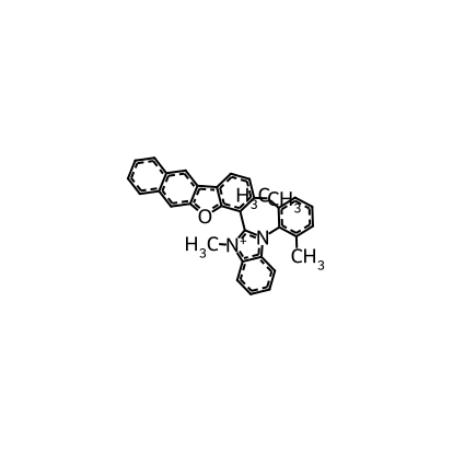 Cc1cccc(C)c1-n1c(-c2c(C)ccc3c2oc2cc4ccccc4cc23)[n+](C)c2ccccc21